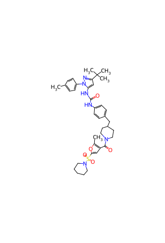 Cc1ccc(-n2nc(C(C)(C)C)cc2NC(=O)Nc2ccc(CC3CCN(C(=O)c4cc(S(=O)(=O)N5CCCCC5)oc4C)CC3)cc2)cc1